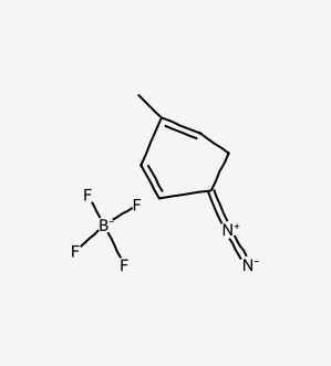 CC1=CCC(=[N+]=[N-])C=C1.F[B-](F)(F)F